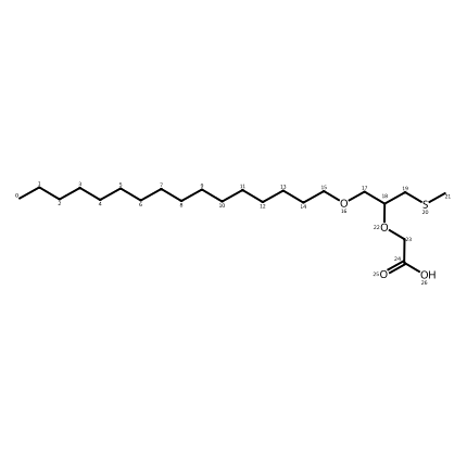 CCCCCCCCCCCCCCCCOCC(CSC)OCC(=O)O